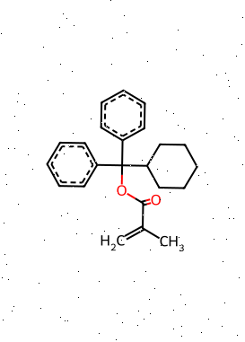 C=C(C)C(=O)OC(c1ccccc1)(c1ccccc1)C1CCCCC1